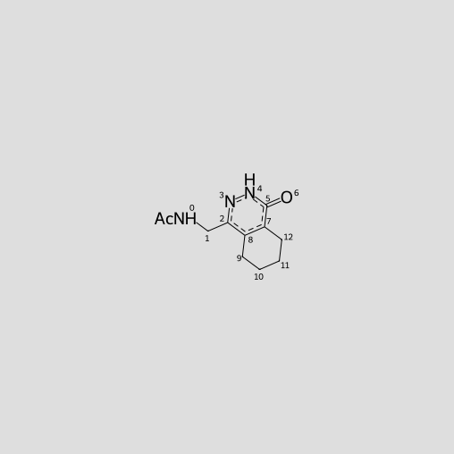 CC(=O)NCc1n[nH]c(=O)c2c1CCCC2